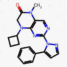 CN1C(=O)CN(C2CCC2)c2nc(-n3nccc3-c3ccccc3)ncc21